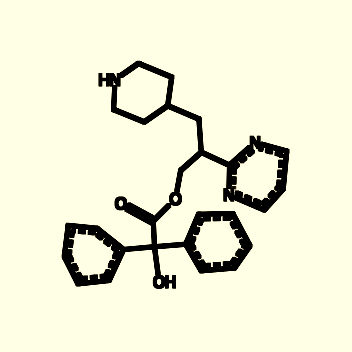 O=C(OCC(CC1CCNCC1)c1ncccn1)C(O)(c1ccccc1)c1ccccc1